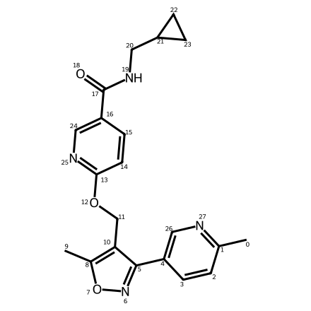 Cc1ccc(-c2noc(C)c2COc2ccc(C(=O)NCC3CC3)cn2)cn1